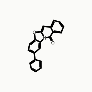 O=c1c2ccccc2cc2oc3ccc(-c4ccccc4)cc3n12